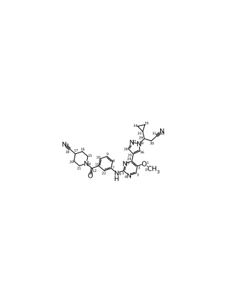 COc1cnc(Nc2cccc(C(=O)N3CCC(C#N)CC3)c2)nc1-c1cnn(C(CC#N)C2CC2)c1